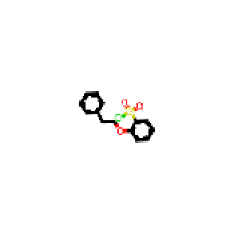 O=S(=O)(Cl)c1ccccc1OCCc1ccccc1